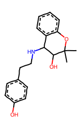 CC1(C)Oc2ccccc2C(NCCc2ccc(O)cc2)C1O